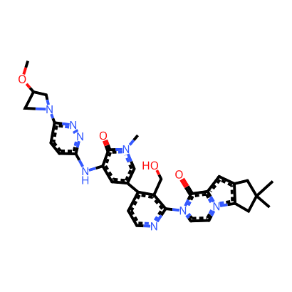 COC1CN(c2ccc(Nc3cc(-c4ccnc(-n5ccn6c7c(cc6c5=O)CC(C)(C)C7)c4CO)cn(C)c3=O)nn2)C1